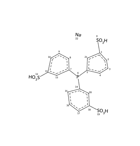 O=S(=O)(O)c1cccc(P(c2cccc(S(=O)(=O)O)c2)c2cccc(S(=O)(=O)O)c2)c1.[Na]